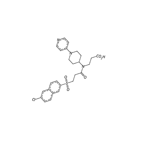 O=C(O)CCN(C(=O)CCS(=O)(=O)c1ccc2cc(Cl)ccc2c1)C1CCN(c2ccncc2)CC1